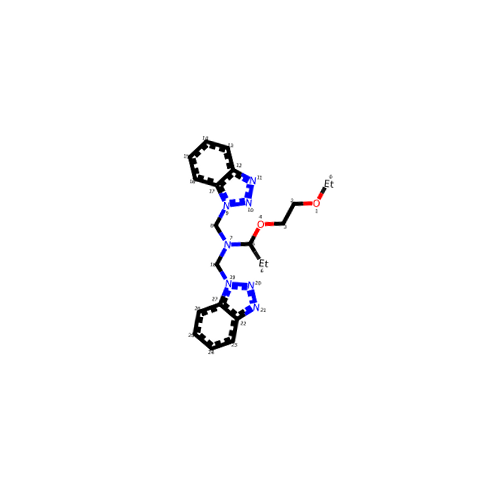 CCOCCOC(CC)N(Cn1nnc2ccccc21)Cn1nnc2ccccc21